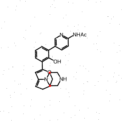 CC(=O)Nc1ccc(-c2cccc(/C3=C/C(N4CCNCC4)=C/CCCO3)c2O)cn1